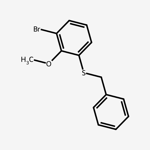 COc1c(Br)cccc1SCc1ccccc1